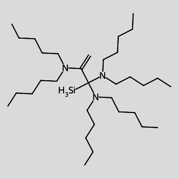 C=C(N(CCCCC)CCCCC)C([SiH3])(N(CCCCC)CCCCC)N(CCCCC)CCCCC